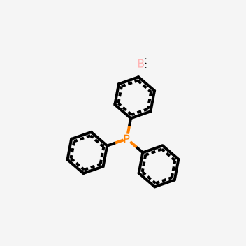 [B].c1ccc(P(c2ccccc2)c2ccccc2)cc1